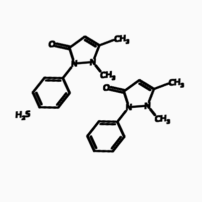 Cc1cc(=O)n(-c2ccccc2)n1C.Cc1cc(=O)n(-c2ccccc2)n1C.S